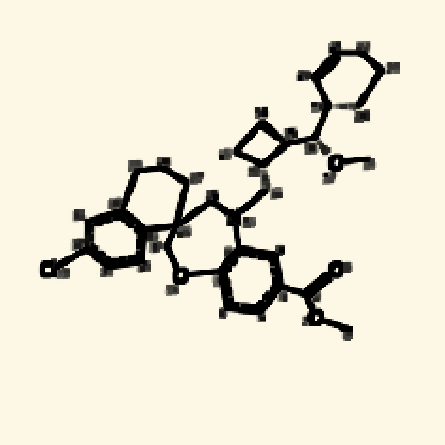 COC(=O)c1ccc2c(c1)N(C[C@@H]1CC[C@H]1[C@@H](OC)[C@@H]1C=CCCC1)CC1(CCCc3cc(Cl)ccc31)CO2